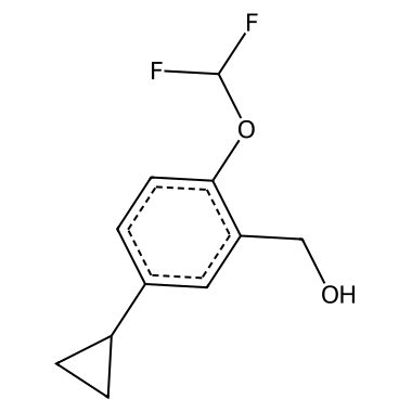 OCc1cc(C2CC2)ccc1OC(F)F